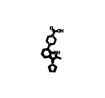 Cc1[nH]c2c(N3CCN(C(=O)O)CC3)cccc2c1[SH]1C=CC=C1